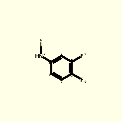 Fc1ccc(NI)cc1F